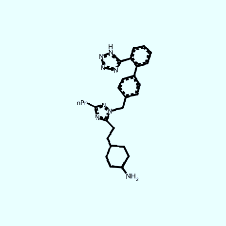 CCCc1nc(CCC2CCC(N)CC2)n(Cc2ccc(-c3ccccc3-c3nnn[nH]3)cc2)n1